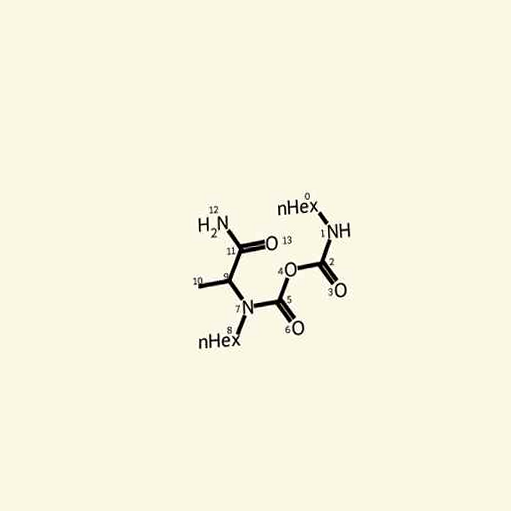 CCCCCCNC(=O)OC(=O)N(CCCCCC)C(C)C(N)=O